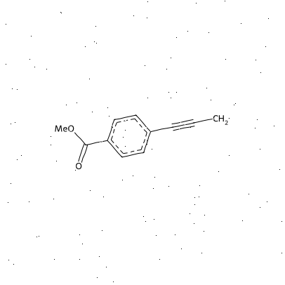 [CH2]C#Cc1ccc(C(=O)OC)cc1